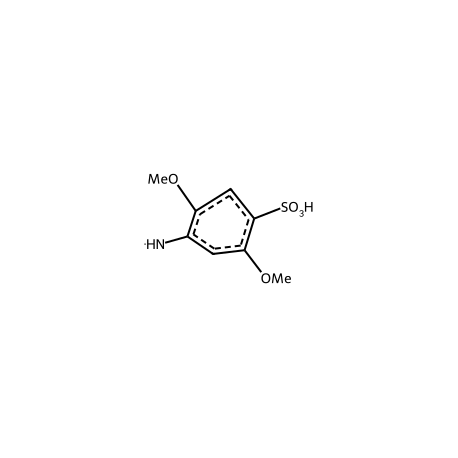 COc1cc(S(=O)(=O)O)c(OC)cc1[NH]